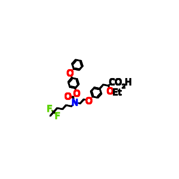 CCOC(Cc1ccc(OCCN(CCCCC(C)(F)F)C(=O)Oc2ccc(Oc3ccccc3)cc2)cc1)C(=O)O